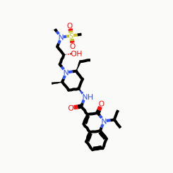 CC[C@H]1C[C@@H](NC(=O)c2cc3ccccc3n(C(C)C)c2=O)C[C@@H](C)N1C[C@@H](O)CN(C)S(C)(=O)=O